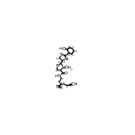 C#CCCC1(CCNC(=O)C2CSC(C3CSC(c4ccccc4O)=N3)N2C)N=N1